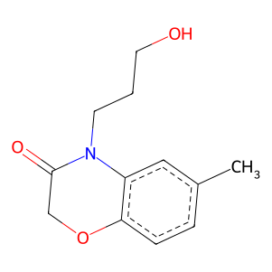 Cc1ccc2c(c1)N(CCCO)C(=O)CO2